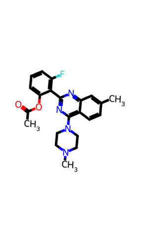 CC(=O)Oc1cccc(F)c1-c1nc(N2CCN(C)CC2)c2ccc(C)cc2n1